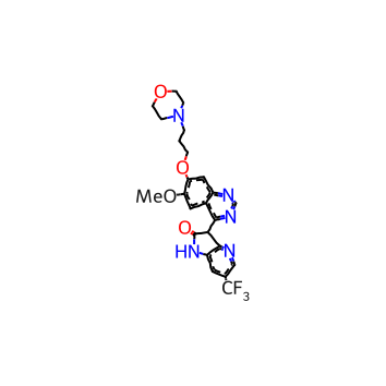 COc1cc2c(C3C(=O)Nc4cc(C(F)(F)F)cnc43)ncnc2cc1OCCCN1CCOCC1